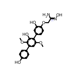 COc1cc(-c2ccc(O)cc2)c(OC)c(O)c1-c1ccc(OC/C(N)=N/O)c(O)c1